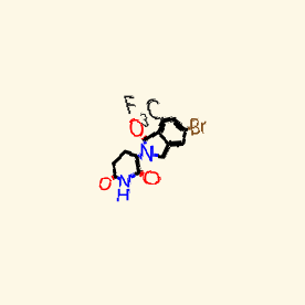 O=C1CCC(N2Cc3cc(Br)cc(C(F)(F)F)c3C2=O)C(=O)N1